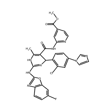 COC(=O)c1ccnc(NC(=O)C2=C(C)NC(Nc3nc4ccc(F)cc4o3)=NC2c2ccc(-n3ccnc3)cc2Cl)c1